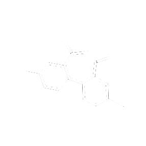 O=c1oc(=O)c2cc(Br)ccc2c2ccc(Br)cc12